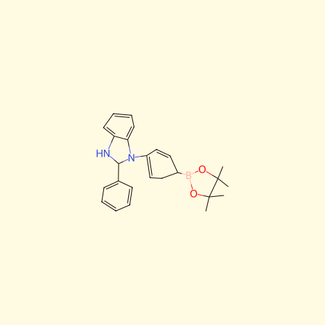 CC1(C)OB(C2C=CC(N3c4ccccc4NC3c3ccccc3)=CC2)OC1(C)C